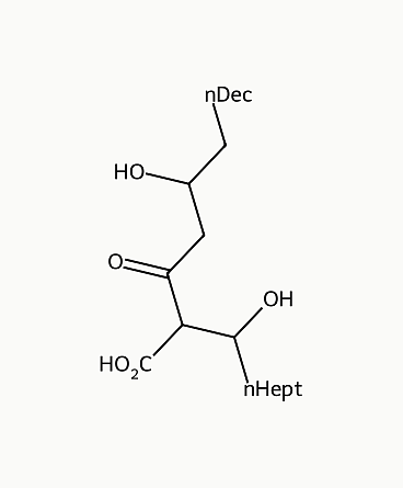 CCCCCCCCCCCC(O)CC(=O)C(C(=O)O)C(O)CCCCCCC